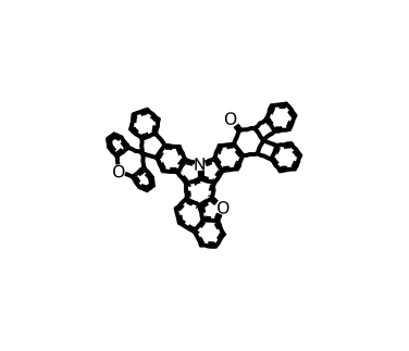 O=C1c2cc3c(cc2C2c4ccccc4C24c2ccccc2C14)c1c2oc4cccc5ccc(c2c54)c2c4cc5c(cc4n3c21)-c1ccccc1C51c2ccccc2Oc2ccccc21